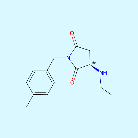 CCN[C@@H]1CC(=O)N(Cc2ccc(C)cc2)C1=O